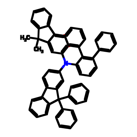 CC1(C)c2ccccc2-c2ccc(N(c3ccc4c(c3)C(c3ccccc3)(c3ccccc3)c3ccccc3-4)c3cccc(-c4ccccc4)c3-c3ccccc3)cc21